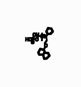 C[N+](C)(COP(=O)(O)O)[C@@H](CCOc1cccc2ccccc12)c1ccccc1